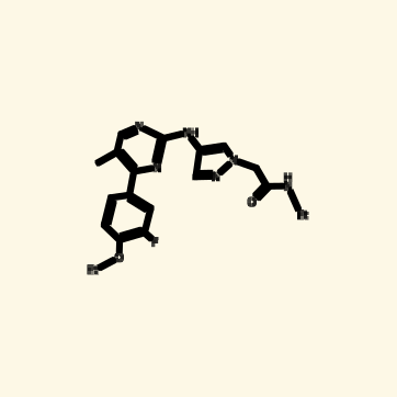 CCNC(=O)Cn1cc(Nc2ncc(C)c(-c3ccc(OCC)c(F)c3)n2)cn1